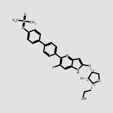 CS(C)(=O)=Nc1ccc(-c2ccc(-c3nc4cc(O[C@@H]5CO[C@H](CCO)[C@@H]5F)[nH]c4cc3F)cc2)cc1